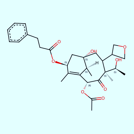 CC(=O)O[C@H]1C(=O)[C@](C)([C@H](C)O)C(C2COC2)C[C@]2(O)C[C@H](OC(=O)CCc3ccccc3)C(C)=C1[C@@H]2C